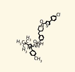 Cc1ccc(-n2nc(C(C)(C)C)cc2NC(=O)Nc2cccc(CC3CCN(C(=O)c4cc(-c5ccc(Cl)cc5)cs4)CC3)c2)cc1